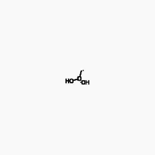 [CH2]OO.[OH]